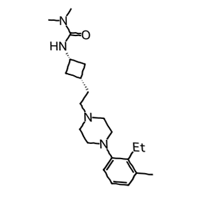 CCc1c(C)cccc1N1CCN(CC[C@H]2C[C@@H](NC(=O)N(C)C)C2)CC1